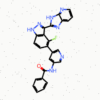 O=C(Nc1cncc(-c2ccc3[nH]nc(-c4nc5cccnc5[nH]4)c3c2F)c1)c1ccccc1